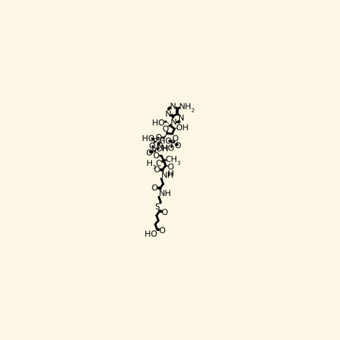 CC(C)(COP(=O)(O)OP(=O)(O)OC[C@H]1O[C@@](CO)(n2cnc3c(N)ncnc32)[C@H](O)[C@@H]1OP(=O)(O)O)[C@@H](O)C(=O)NCCC(=O)NCCSC(=O)CCCC(=O)O